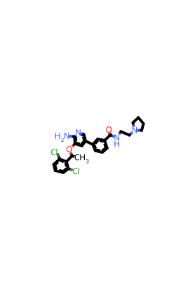 CC(Oc1cc(-c2cccc(C(=O)NCCN3CCCC3)c2)cnc1N)c1c(Cl)cccc1Cl